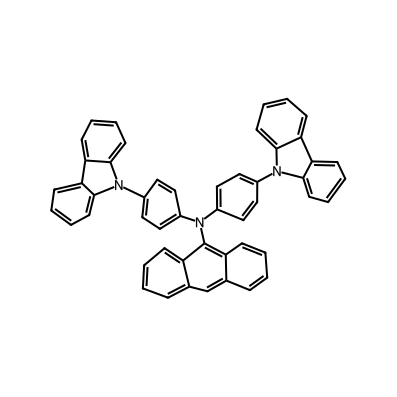 c1ccc2c(N(c3ccc(-n4c5ccccc5c5ccccc54)cc3)c3ccc(-n4c5ccccc5c5ccccc54)cc3)c3ccccc3cc2c1